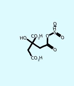 O=C(O)CC(O)(CC(=O)O[SH](=O)=O)C(=O)O